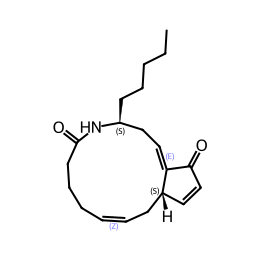 CCCCC[C@H]1C/C=C2/C(=O)C=C[C@@H]2C/C=C\CCCC(=O)N1